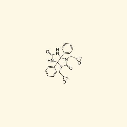 O=C1NC2(c3ccccc3)N(CC3CO3)C(=O)N(CC3CO3)C2(c2ccccc2)N1